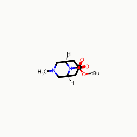 CN1C[C@H]2CC(=O)C[C@@H](C1)N2C(=O)OC(C)(C)C